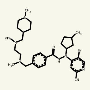 CCCN(CCN(C)Cc1ccc(C(=O)NN(c2nc(C#N)ncc2Br)C2CCC(C)C2)cc1)CC1CCN(C)CC1